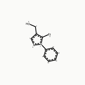 CCc1c(CO)cnn1-c1ccccc1